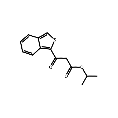 CC(C)OC(=O)CC(=O)c1scc2ccccc12